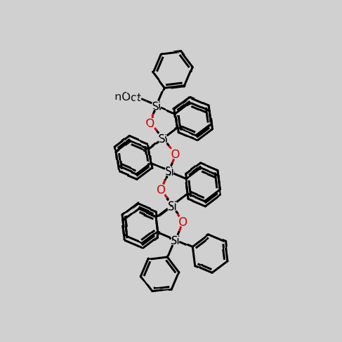 [CH2]CCCCCCC[Si](O[Si](O[Si](O[Si](O[Si](c1ccccc1)(c1ccccc1)c1ccccc1)(c1ccccc1)c1ccccc1)(c1ccccc1)c1ccccc1)(c1ccccc1)c1ccccc1)(c1ccccc1)c1ccccc1